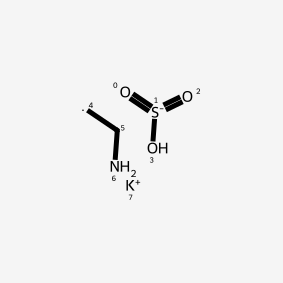 O=[S-](=O)O.[CH2]CN.[K+]